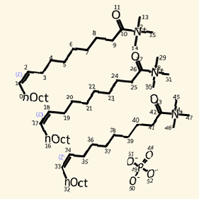 CCCCCCCC/C=C\CCCCCCCC(=O)[N+](C)(C)C.CCCCCCCC/C=C\CCCCCCCC(=O)[N+](C)(C)C.CCCCCCCC/C=C\CCCCCCCC(=O)[N+](C)(C)C.O=P([O-])([O-])[O-]